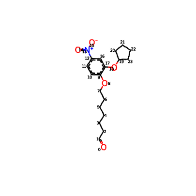 O=CCCCCCCOc1ccc([N+](=O)[O-])cc1OC1CCCC1